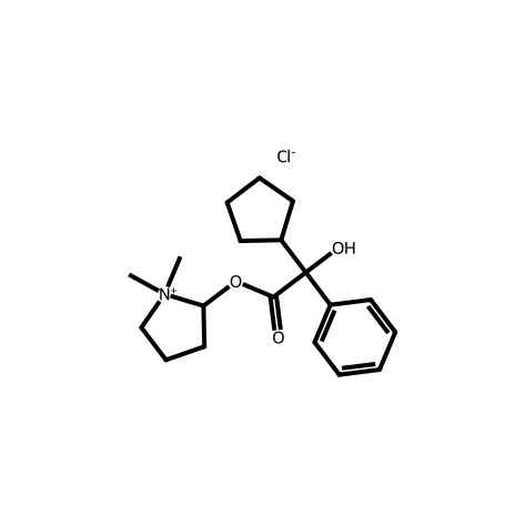 C[N+]1(C)CCCC1OC(=O)C(O)(c1ccccc1)C1CCCC1.[Cl-]